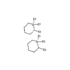 CCC1CCCC[Si]1(CC)CC.CCC1CCCC[Si]1(CC)CC